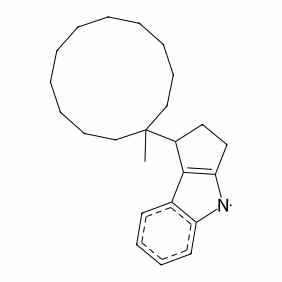 CC1(C2CCC3=C2c2ccccc2[N]3)CCCCCCCCCCC1